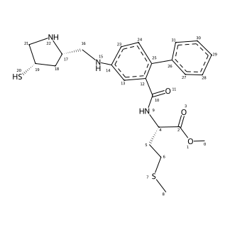 COC(=O)[C@H](CCSC)NC(=O)c1cc(NC[C@@H]2C[C@H](S)CN2)ccc1-c1ccccc1